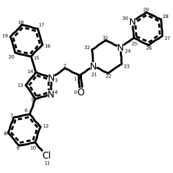 O=C(Cn1nc(-c2cccc(Cl)c2)cc1-c1ccccc1)N1CCN(c2ccccn2)CC1